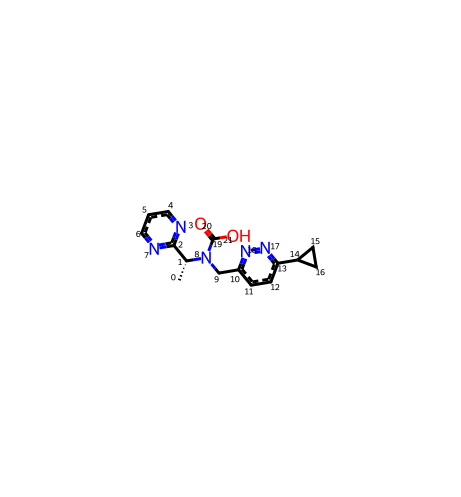 C[C@H](c1ncccn1)N(Cc1ccc(C2CC2)nn1)C(=O)O